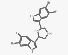 Fc1cc2c(C3CNCC(c4c[nH]c5cc(Br)c(F)cc45)N3)c[nH]c2cc1Br